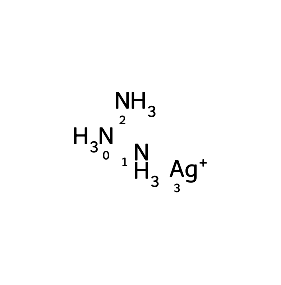 N.N.N.[Ag+]